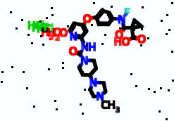 CN1CCN(C2CCN(C(=O)Nc3cc(Oc4ccc(N(F)C(=O)C5(C(=O)O)CC5)cc4)ccn3)CC2)CC1.Cl.Cl.Cl.O.O